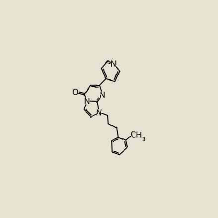 Cc1ccccc1CCCn1ccn2c(=O)cc(-c3ccncc3)nc12